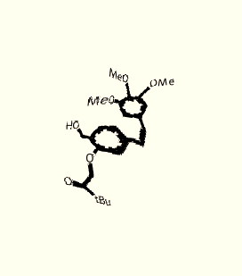 COc1cc(/C=C\c2ccc(CO)c(OCC(=O)C(C)(C)C)c2)cc(OC)c1OC